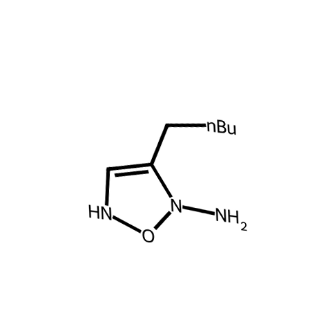 CCCCCC1=CNON1N